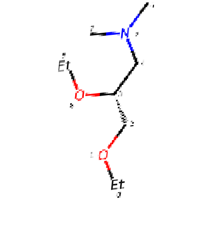 CCOC[C@@H](CN(C)C)OCC